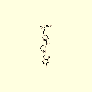 COC(=O)/C=C/c1cnc(N[C@@H]2CCCN(CCc3ccc(F)cc3F)C2)cn1